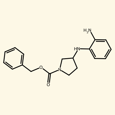 Nc1ccccc1NC1CCN(C(=O)OCc2ccccc2)C1